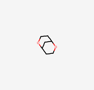 C1CC2CC(CCO2)O1